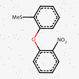 CSc1ccccc1Oc1ccccc1[N+](=O)[O-]